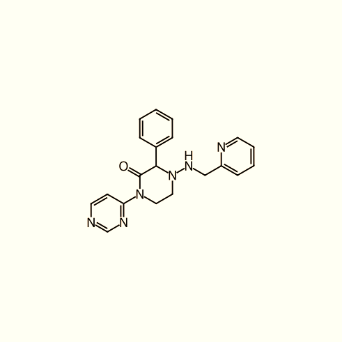 O=C1C(c2ccccc2)N(NCc2ccccn2)CCN1c1ccncn1